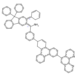 N/C(c1cccc(C2C=Cc3c(c4ccccc4c4cc(-c5cc6cccnc6c6ncccc56)ccc34)C2)c1)=c1/cc2c(c/c1=C1\C=CC=CC1)C(c1ccccc1)(c1ccccc1)c1ccccc1-2